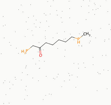 CPCCCCCC(=O)CP